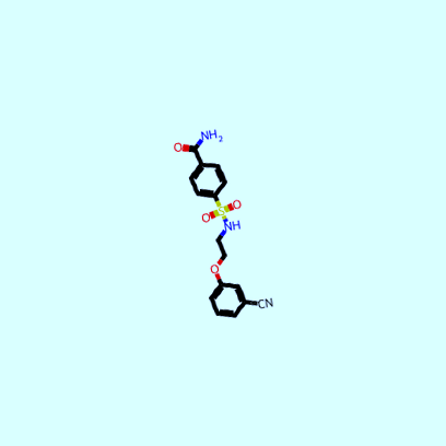 N#Cc1cccc(OCCNS(=O)(=O)c2ccc(C(N)=O)cc2)c1